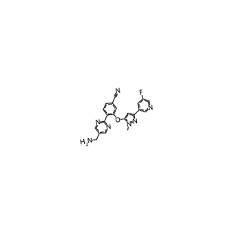 Cn1nc(-c2cncc(F)c2)cc1Oc1cc(C#N)ccc1-c1ncc(CN)cn1